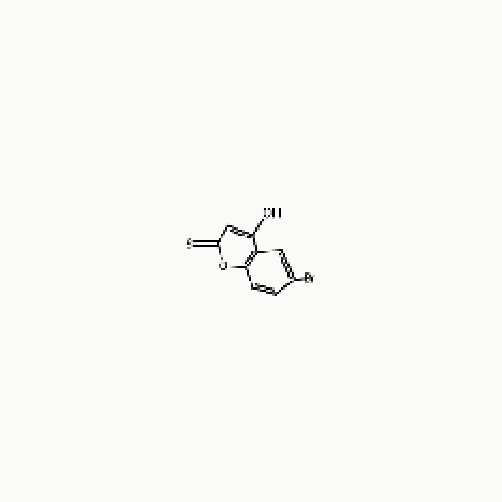 Oc1cc(=S)oc2ccc(Br)cc12